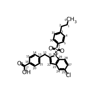 CCCc1ccc(S(=O)(=O)n2c(Cc3ccc(C(=O)O)cc3)cc3cc(Cl)ccc32)cc1